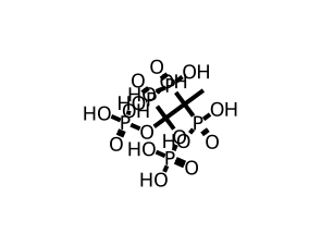 CC(C(OP(=O)(O)O)(OP(=O)(O)O)P(=O)(O)O)(P(=O)(O)O)P(=O)(O)O